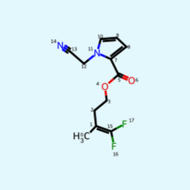 CC(CCOC(=O)c1cccn1CC#N)=C(F)F